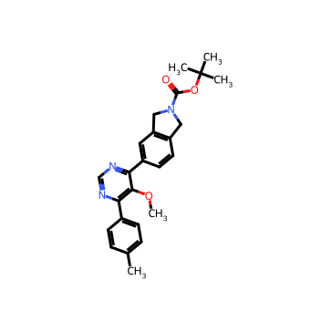 COc1c(-c2ccc(C)cc2)ncnc1-c1ccc2c(c1)CN(C(=O)OC(C)(C)C)C2